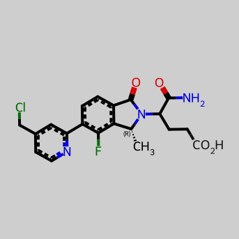 C[C@@H]1c2c(ccc(-c3cc(CCl)ccn3)c2F)C(=O)N1C(CCC(=O)O)C(N)=O